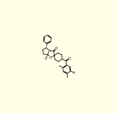 Cc1cc(C)c(C(=O)N2CCC3(CC2)O[C@@H]2CC[C@@H](c4ccccc4)N2C3=O)cc1F